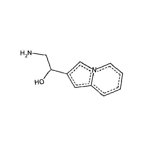 NCC(O)c1cc2ccccn2c1